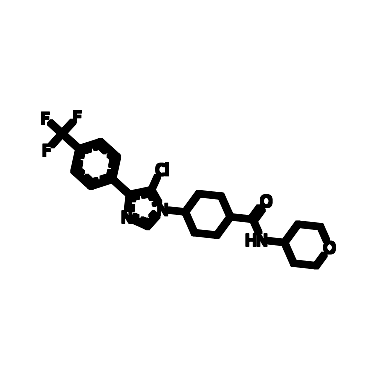 O=C(NC1CCOCC1)C1CCC(n2cnc(-c3ccc(C(F)(F)F)cc3)c2Cl)CC1